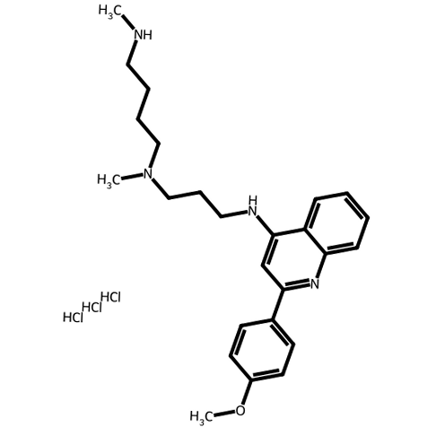 CNCCCCN(C)CCCNc1cc(-c2ccc(OC)cc2)nc2ccccc12.Cl.Cl.Cl